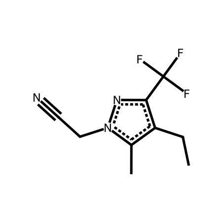 CCc1c(C(F)(F)F)nn(CC#N)c1C